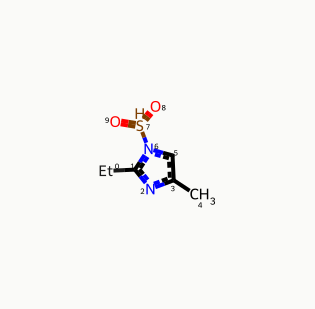 CCc1nc(C)cn1[SH](=O)=O